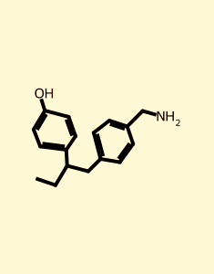 CCC(Cc1ccc(CN)cc1)c1ccc(O)cc1